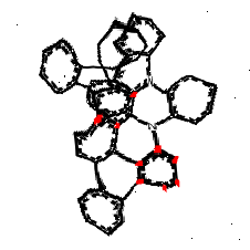 c1ccc(-c2ccccc2-c2ccccc2-c2ccccc2N(c2ccc3c(c2)C2(CCCCC2)c2ccccc2-3)c2ccccc2-n2c3ccccc3c3ccccc32)cc1